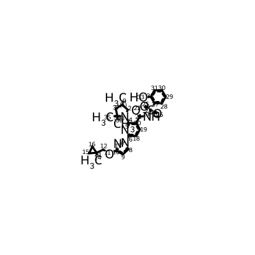 C[C@@H]1CN(c2nc(-n3ccc(OCC4(C)CC4)n3)ccc2C(=O)NS(=O)(=O)c2ccccc2O)C(C)(C)C1